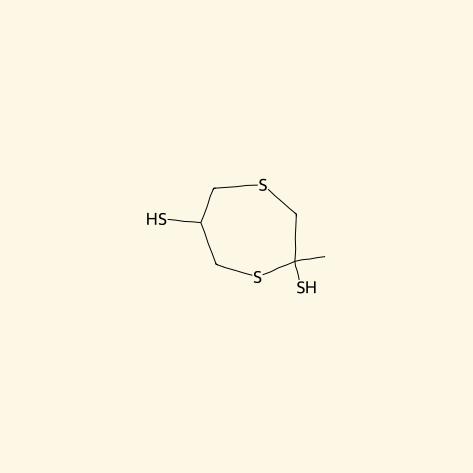 CC1(S)CSCC(S)CS1